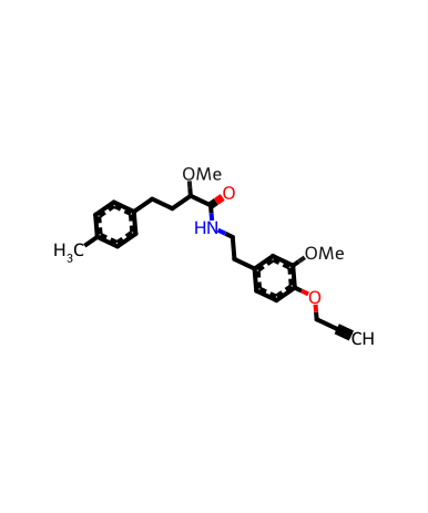 C#CCOc1ccc(CCNC(=O)C(CCc2ccc(C)cc2)OC)cc1OC